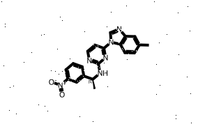 Cc1ccc2c(c1)ncn2-c1ccnc(N[C@@H](C)c2cccc([N+](=O)[O-])c2)n1